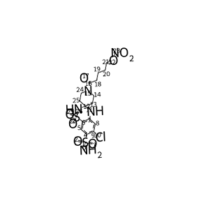 NS(=O)(=O)c1cc2c(cc1Cl)NC1(CCN(C(=O)CCCCO[N+](=O)[O-])CC1)NS2(=O)=O